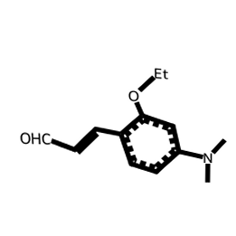 CCOc1cc(N(C)C)ccc1/C=C/C=O